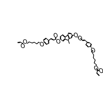 C=CC(=O)OCCCCCCOc1ccc(C=COCOc2ccc3c(c2)C(C)c2cc(OC(=O)C=Cc4ccc(OCCCCCCOC(=O)C=C)cc4)ccc2-3)cc1